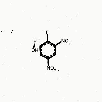 CCO.O=[N+]([O-])c1ccc(F)c([N+](=O)[O-])c1